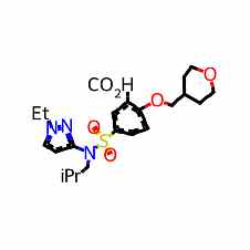 CCn1ccc(N(CC(C)C)S(=O)(=O)c2ccc(OCC3CCOCC3)c(C(=O)O)c2)n1